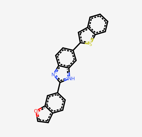 c1ccc2sc(-c3ccc4nc(-c5ccc6ccoc6c5)[nH]c4c3)cc2c1